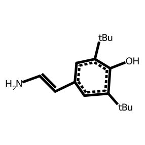 CC(C)(C)c1cc(/C=C/N)cc(C(C)(C)C)c1O